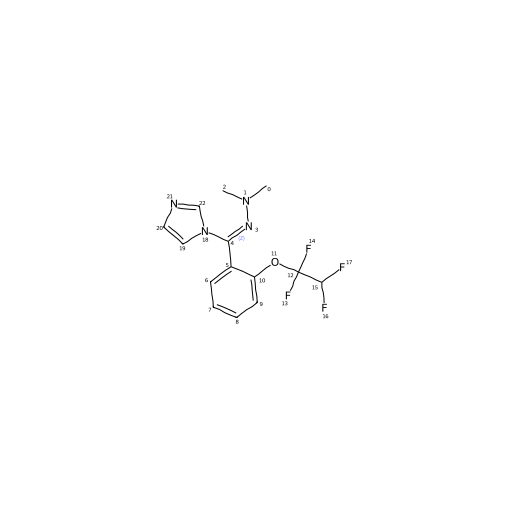 CN(C)/N=C(/c1ccccc1OC(F)(F)C(F)F)n1ccnc1